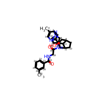 Cc1ccc(C2(O)CC3CCC(C2)C3[C@]2(NC(=O)CNC(=O)c3cccc(C(F)(F)F)c3)CCNC2)nc1